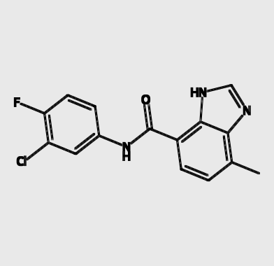 Cc1ccc(C(=O)Nc2ccc(F)c(Cl)c2)c2[nH]cnc12